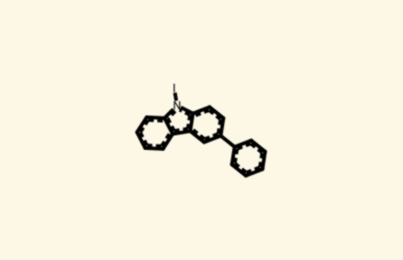 In1c2ccccc2c2cc(-c3ccccc3)ccc21